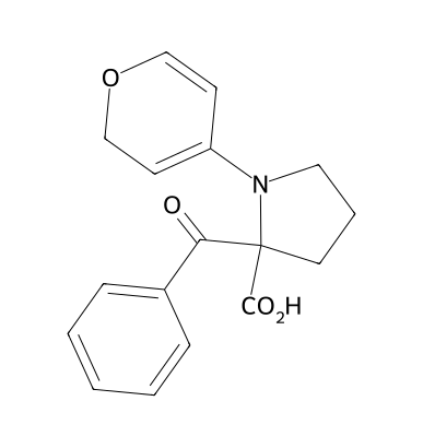 O=C(O)C1(C(=O)c2ccccc2)CCCN1C1=CCOC=C1